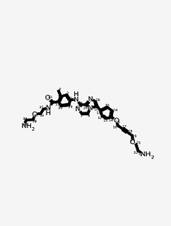 Cc1cc(Nc2nccn3c(-c4ccc(OCC#CCOCCN)cc4)cnc23)ccc1C(=O)NCCOCCN